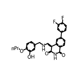 CCCOc1ccc(CN/C=C2\C(=O)NC(=O)c3ccc(-c4ccc(F)c(F)c4)cc32)cc1O